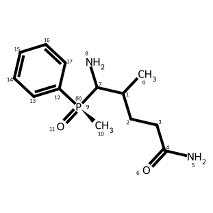 CC(CCC(N)=O)C(N)[P@](C)(=O)c1ccccc1